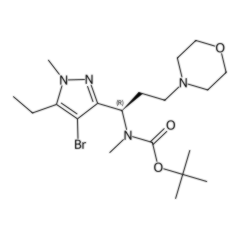 CCc1c(Br)c([C@@H](CCN2CCOCC2)N(C)C(=O)OC(C)(C)C)nn1C